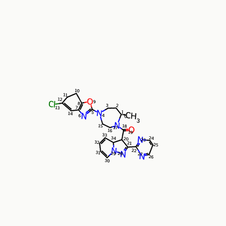 C[C@@H]1CCN(c2nc3c(o2)CCC(Cl)=C3)CCN1C(=O)C1C(c2ncccn2)=NN2C=CC=CC12